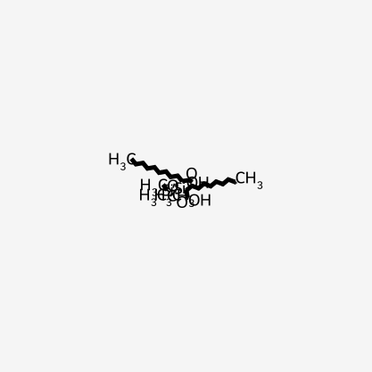 CCCCCCCCCC(C(=O)O)[Si](C)(O[Si](C)(C)C)C(CCCCCCCCC)C(=O)O